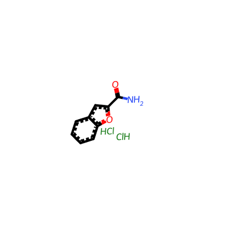 Cl.Cl.NC(=O)c1cc2ccccc2o1